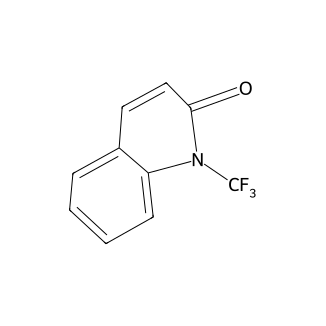 O=c1ccc2ccccc2n1C(F)(F)F